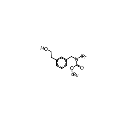 CC(C)N(Cc1cccc(CCO)c1)C(=O)OC(C)(C)C